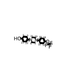 Oc1ccc(N2CCN(c3ccc(OC(F)(F)F)cc3)CC2)cc1